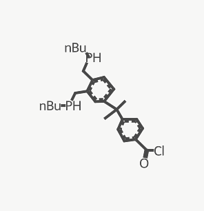 CCCCPCc1ccc(C(C)(C)c2ccc(C(=O)Cl)cc2)cc1CPCCCC